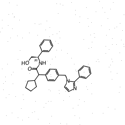 O=C(N[C@@H](CO)c1ccccc1)C(c1ccc(Cn2ccnc2-c2ccccc2)cc1)C1CCCC1